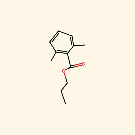 CCCOC(=O)c1c(C)cccc1C